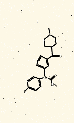 CN1CCC(C(=O)c2cccc(N(C(N)=S)c3ccc(I)cc3)c2)CC1